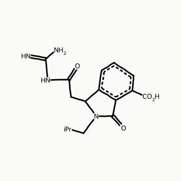 CC(C)CN1C(=O)c2c(C(=O)O)cccc2C1CC(=O)NC(=N)N